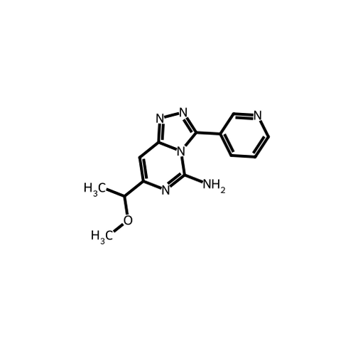 COC(C)c1cc2nnc(-c3cccnc3)n2c(N)n1